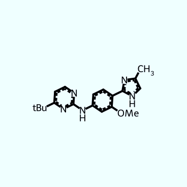 COc1cc(Nc2nccc(C(C)(C)C)n2)ccc1-c1nc(C)c[nH]1